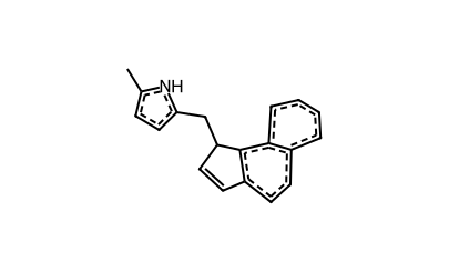 Cc1ccc(CC2C=Cc3ccc4ccccc4c32)[nH]1